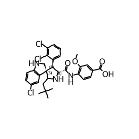 COc1cc(C(=O)O)ccc1NC(=O)[C@@H]1NC(CC(C)(C)C)[C@@]2(CNc3ccc(Cl)cc32)[C@H]1c1cccc(Cl)c1Cl